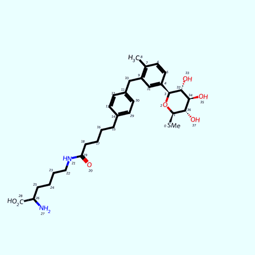 CS[C@H]1O[C@@H](c2ccc(C)c(Cc3ccc(CCCCC(=O)NCCCCC(N)C(=O)O)cc3)c2)[C@H](O)[C@@H](O)[C@@H]1O